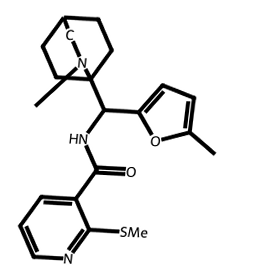 CSc1ncccc1C(=O)NC(c1ccc(C)o1)C12CCC(CC1)CN2C